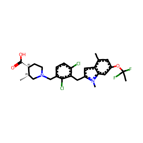 Cc1cc(OC(C)(F)F)cc2c1cc(Cc1c(Cl)ccc(CN3CC[C@@H](C(=O)O)[C@@H](C)C3)c1Cl)n2C